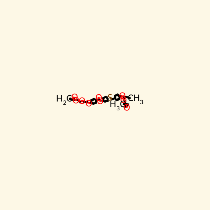 C=CC(=O)OCCOCCOc1ccc(C(=O)Oc2ccc(SCc3ccc(OC(CCC)OCC4(C)COC4)cc3)cc2)cc1